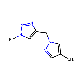 CCn1cc(Cn2cc(C)cn2)nn1